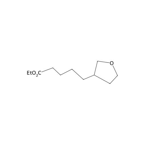 CCOC(=O)CCCCC1CCOC1